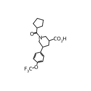 O=C(O)C1CC(c2ccc(OC(F)(F)F)cc2)CN(C(=O)C2CCCC2)C1